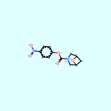 O=C(Oc1ccc([N+](=O)[O-])cc1)N1CC2CC(C1)O2